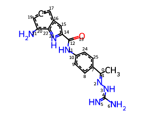 C/C(=N\NC(=N)N)c1ccc(NC(=O)c2cc3cccc(N)c3[nH]2)cc1